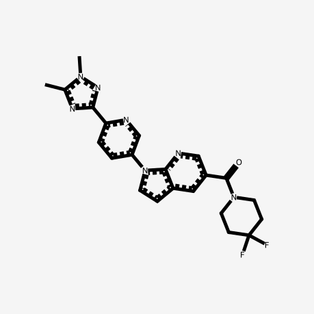 Cc1nc(-c2ccc(-n3ccc4cc(C(=O)N5CCC(F)(F)CC5)cnc43)cn2)nn1C